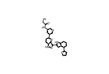 CC(C)CC(=O)Nc1cncc(-c2ccc3[nH]nc(-c4cc5c(-c6cccs6)cccc5[nH]4)c3n2)c1